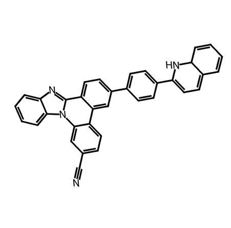 N#Cc1ccc2c3cc(-c4ccc(C5=CC=C6C=CC=CC6N5)cc4)ccc3c3nc4ccccc4n3c2c1